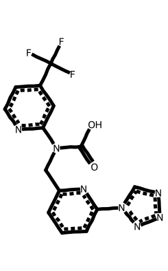 O=C(O)N(Cc1cccc(-n2cnnn2)n1)c1cc(C(F)(F)F)ccn1